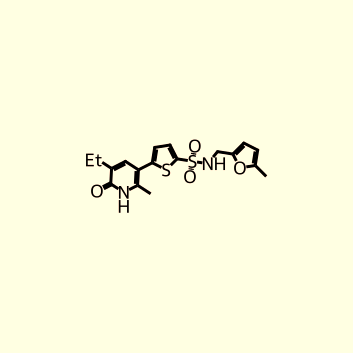 CCc1cc(-c2ccc(S(=O)(=O)NCc3ccc(C)o3)s2)c(C)[nH]c1=O